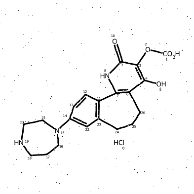 Cl.O=C(O)Oc1c(O)c2c([nH]c1=O)-c1ccc(N3CCCNCC3)cc1CCC2